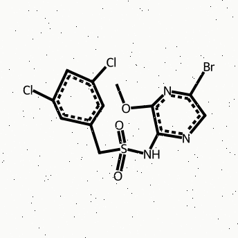 COc1nc(Br)cnc1NS(=O)(=O)Cc1cc(Cl)cc(Cl)c1